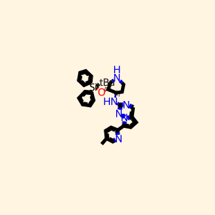 Cc1ccc(-c2ccc3cnc(N[C@@H]4CCNC[C@H]4O[Si](c4ccccc4)(c4ccccc4)C(C)(C)C)nn23)nc1